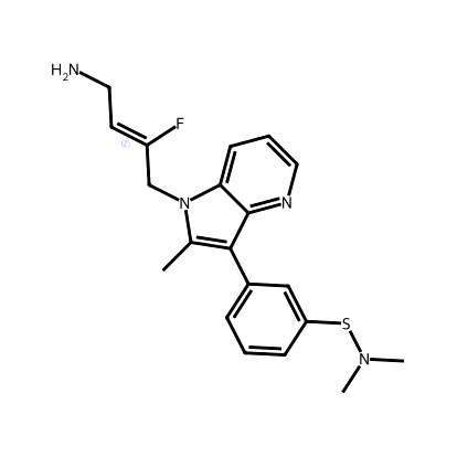 Cc1c(-c2cccc(SN(C)C)c2)c2ncccc2n1C/C(F)=C/CN